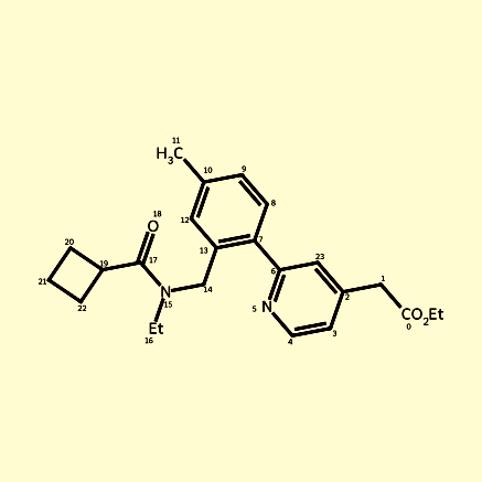 CCOC(=O)Cc1ccnc(-c2ccc(C)cc2CN(CC)C(=O)C2CCC2)c1